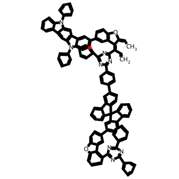 C=C/C(c1nc(-c2ccccc2)nc(-c2ccc(-c3ccc4c(c3)-c3ccccc3C43c4ccccc4-c4ccc(-c5ccc6oc7cccc(-c8nc(-c9ccccc9)nc(-c9ccccc9)n8)c7c6c5)cc43)cc2)n1)=c1\c(=C/C)oc2ccc(-c3ccc4c(c3)c3cc5c(cc3n4-c3ccccc3)c3ccccc3n5-c3ccccc3)cc12